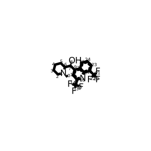 CN1CCCCC1[C@@H](O)c1cc(C(F)(F)F)nc2c(C(F)(F)F)cccc12